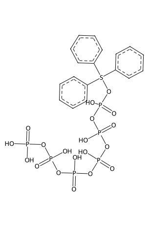 O=P(O)(O)OP(=O)(O)OP(=O)(O)OP(=O)(O)OP(=O)(O)OP(=O)(O)OS(c1ccccc1)(c1ccccc1)c1ccccc1